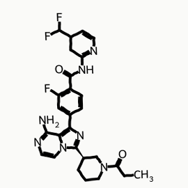 CCC(=O)N1CCC[C@@H](c2nc(-c3ccc(C(=O)NC4=NC=CC(C(F)F)C4)c(F)c3)c3c(N)nccn23)C1